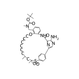 CC1CCCCCCOc2c(CN(C)C(=O)OC(C)(C)C)cccc2NC(=O)c2nc(cnc2N)-c2ccc(cc2)S(=O)(=O)C(C)(C)C1